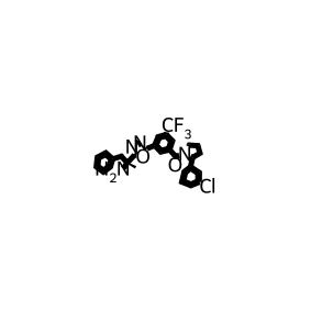 C[C@@](N)(Cc1ccccc1)c1nnc(-c2cc(C(=O)N3CCCC3c3cccc(Cl)c3)cc(C(F)(F)F)c2)o1